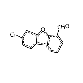 O=Cc1cccc2c1oc1cc(Cl)ccc12